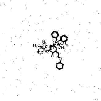 CC(C)(C)[Si](C)(C)OC1CC(O[Si](c2ccccc2)(c2ccccc2)C(C)(C)C)CC(CCOC2CCCCC2)C1=O